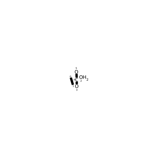 C=C.O.O=C=O